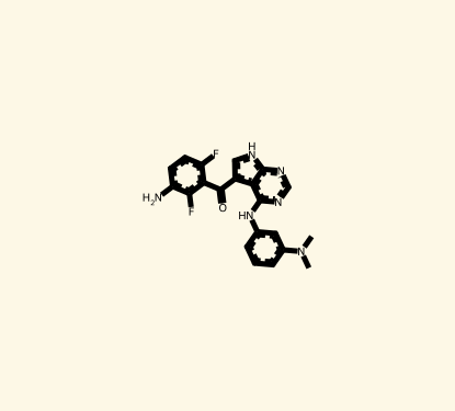 CN(C)c1cccc(Nc2ncnc3[nH]cc(C(=O)c4c(F)ccc(N)c4F)c23)c1